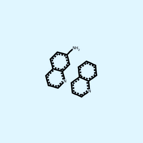 Nc1ccc2cccnc2c1.c1ccc2ncccc2c1